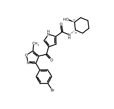 Cc1onc(-c2ccc(Br)cc2)c1C(=O)c1c[nH]c(C(=O)N[C@H]2CCCC[C@@H]2O)c1